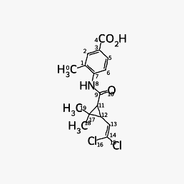 Cc1cc(C(=O)O)ccc1NC(=O)C1C(C=C(Cl)Cl)C1(C)C